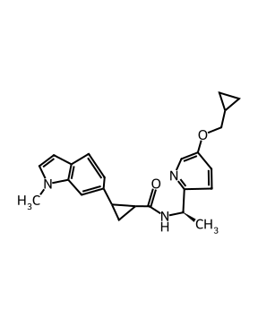 C[C@@H](NC(=O)C1CC1c1ccc2ccn(C)c2c1)c1ccc(OCC2CC2)cn1